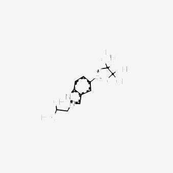 CC(C)Cn1cc2cc(B3OC(C)(C)C(C)(C)O3)ccc2n1